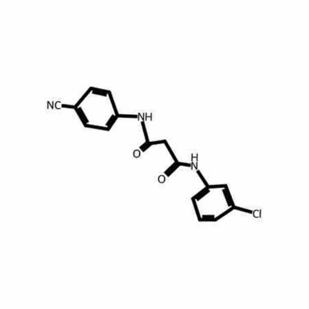 N#Cc1ccc(NC(=O)CC(=O)Nc2cccc(Cl)c2)cc1